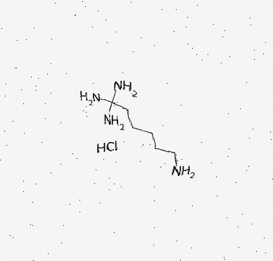 Cl.NCCCCCC(N)(N)N